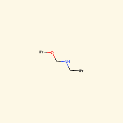 CC(C)CNCOC(C)C